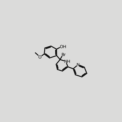 COc1ccc(O)c(C2(Br)C=CC=C(c3ccccn3)N2)c1